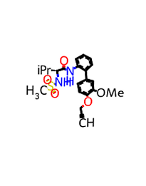 C#CCOc1ccc(-c2ccccc2NC(=O)[C@@H](NS(C)(=O)=O)C(C)C)cc1OC